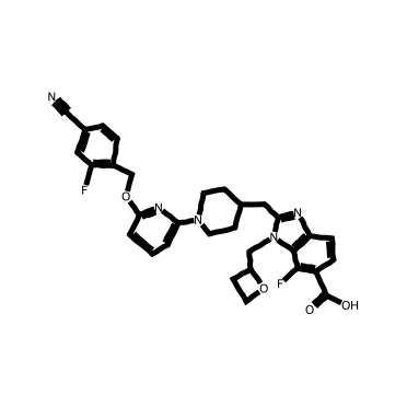 N#Cc1ccc(COc2cccc(N3CCC(Cc4nc5ccc(C(=O)O)c(F)c5n4CC4CCO4)CC3)n2)c(F)c1